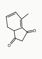 CC1=C2C(=O)CC(=O)C2CC=C1